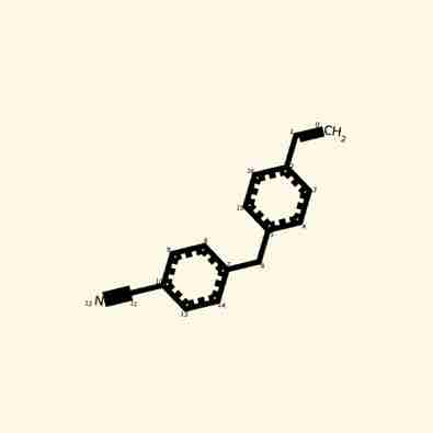 C=Cc1ccc(Cc2ccc(C#N)cc2)cc1